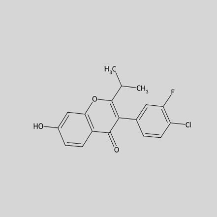 CC(C)c1oc2cc(O)ccc2c(=O)c1-c1ccc(Cl)c(F)c1